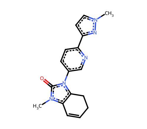 Cn1ccc(-c2ccc(-n3c4c(n(C)c3=O)C=CCC4)cn2)n1